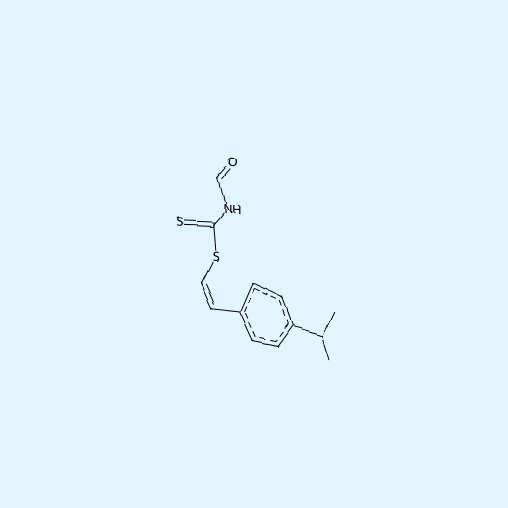 CC(C)c1ccc(/C=C\SC(=S)NC=O)cc1